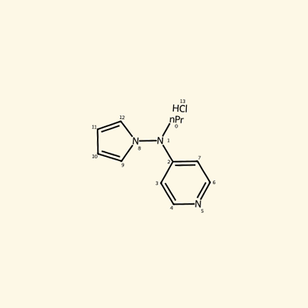 CCCN(c1ccncc1)n1cccc1.Cl